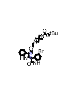 CC(C)(C)OC(=O)N1CC2(CN(CCO/N=C3/C(=C4/C(=O)Nc5ccc(Br)cc54)Nc4ccccc43)C2)C1